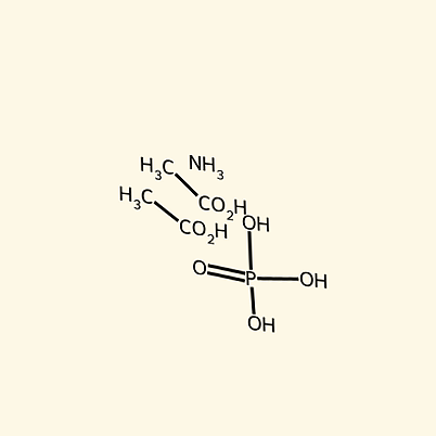 CC(=O)O.CC(=O)O.N.O=P(O)(O)O